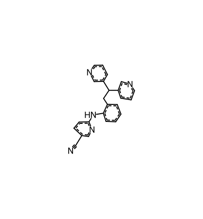 N#Cc1ccc(Nc2ccccc2CC(c2cccnc2)c2cccnc2)nc1